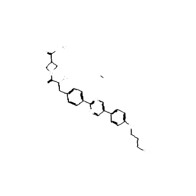 CC(=O)O.COC(=O)C1CN(C(=O)[C@@H](N)Cc2ccc(-c3ncc(-c4ccc(OCCCC(C)C)cc4)cn3)cc2)C1